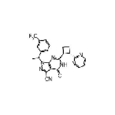 C[C@@H](c1cccc(C(F)(F)F)c1)n1nc(C#N)c2c(=O)[nH]c([C@H]3CC[C@@H]3c3ncccn3)nc21